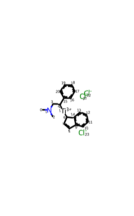 CN(C)C[CH]([Ti+3][CH]1C=Cc2ccccc21)c1ccccc1.[Cl-].[Cl-].[Cl-]